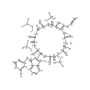 CC(C)CC[C@H]1C(=O)N[C@@H](CC(C)C)C(=O)N(C)[C@@H](Cc2cn(Cc3cncc(F)c3)c3ccccc23)C(=O)N[C@@H](CC(C)C)C(=O)N(C)[C@@H](C)C(=O)O[C@H](CCC#N)C(=O)N[C@@H](CC(C)C)C(=O)N1C